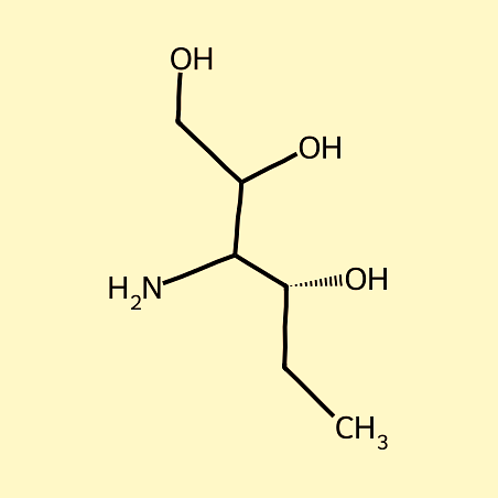 CC[C@@H](O)C(N)C(O)CO